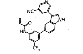 C=CC(=O)Nc1cc(-c2ccc3[nH]cc(-c4cncc(C#N)c4)c3c2)cc(C(F)(F)F)c1